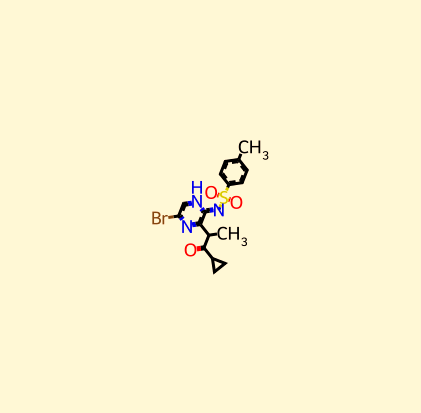 Cc1ccc(S(=O)(=O)N=c2[nH]cc(Br)nc2C(C)C(=O)C2CC2)cc1